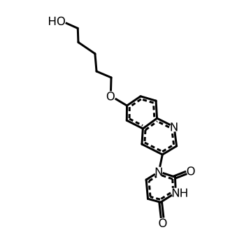 O=c1ccn(-c2cnc3ccc(OCCCCCO)cc3c2)c(=O)[nH]1